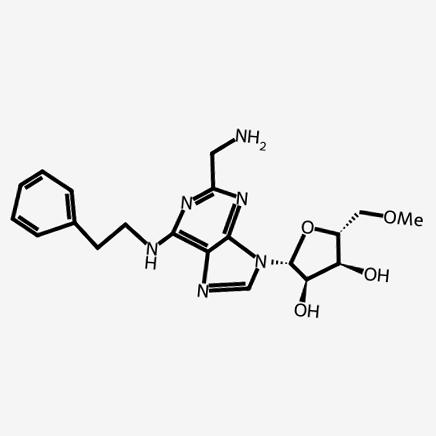 COC[C@H]1O[C@@H](n2cnc3c(NCCc4ccccc4)nc(CN)nc32)[C@H](O)[C@@H]1O